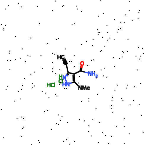 C#Cc1n[nH]c(NC)c1C(N)=O.Cl.Cl